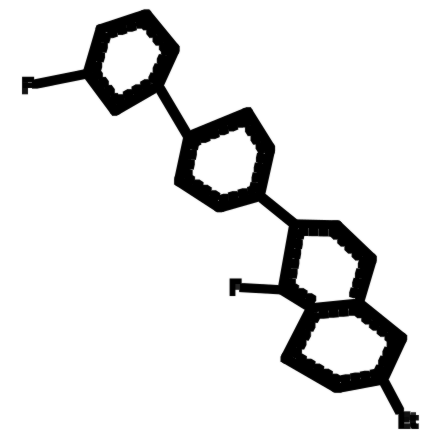 CCc1ccc2c(F)c(-c3ccc(-c4cccc(F)c4)cc3)ccc2c1